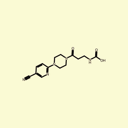 N#Cc1ccc(N2CCN(C(=O)CCNC(=O)O)CC2)nc1